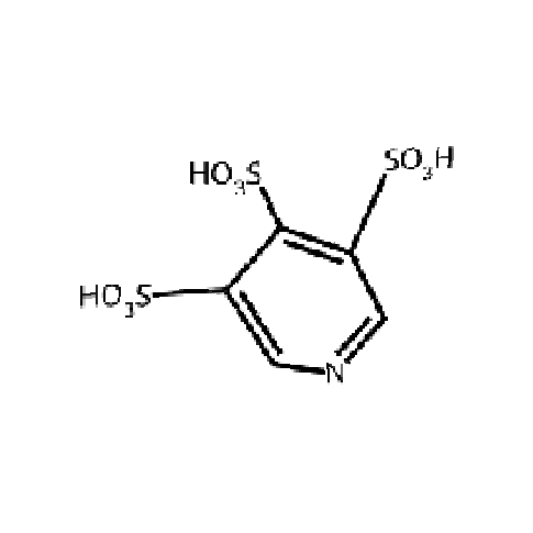 O=S(=O)(O)c1cncc(S(=O)(=O)O)c1S(=O)(=O)O